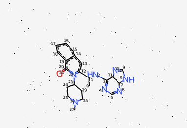 CC(NC1=NC=NC2NC=NC12)c1cc2ccccc2c(=O)n1C1CCN(C)CC1